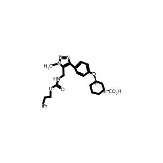 CC(C)CCOC(=O)NCc1c(-c2ccc(O[C@@H]3CCC[C@@H](C(=O)O)C3)cc2)nnn1C